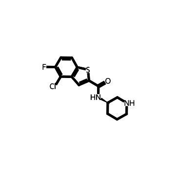 O=C(N[C@@H]1CCCNC1)c1cc2c(Cl)c(F)ccc2s1